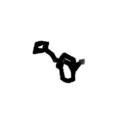 CC12CCCC(Cl)(CCC1OCc1ccccc1)O2